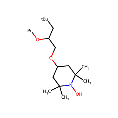 CC(C)OC(COC1CC(C)(C)N(O)C(C)(C)C1)CC(C)(C)C